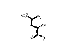 CC(=O)[C@@H](O)[C@H](O)C[C@H](N)C(=O)O